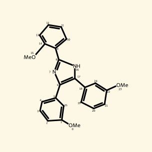 COc1cccc(-c2nc(-c3ccccc3OC)[nH]c2-c2cccc(OC)c2)c1